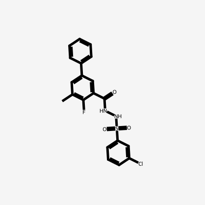 Cc1cc(-c2ccccc2)cc(C(=O)NNS(=O)(=O)c2cccc(Cl)c2)c1F